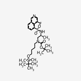 C[C@@H](CN(CCCCO[Si](C)(C)C(C)(C)C)C(=O)OC(C)(C)C)NS(=O)(=O)c1cccc2cncc(F)c12